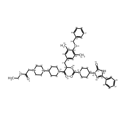 CCOC(=O)CN1CCN(C2CCN(C(=O)C(Cc3cc(C)c(OCc4ccccc4)c(C)c3)OC(=O)N3CCC(n4nc(-c5ccccc5)[nH]c4=O)CC3)CC2)CC1